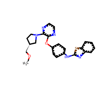 COC[C@@H]1CCN(c2nccnc2Oc2ccc(Nc3nc4ccccc4s3)cc2)C1